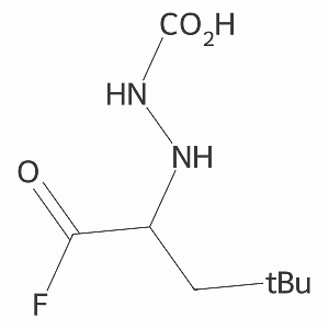 CC(C)(C)CC(NNC(=O)O)C(=O)F